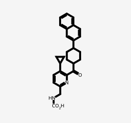 O=C(O)NCc1ccc(C2CC2)c(C(=O)C2CCC(c3ccc4ccccc4c3)CC2)n1